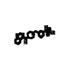 CCS(=O)(=O)Nc1cccc(CN2CCC(Nc3ncnc4ccccc34)CC2)c1